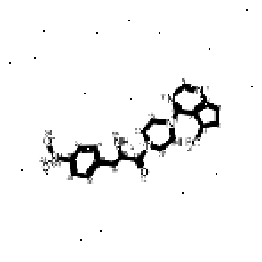 CC1CCc2ncnc(N3CCN(C(=O)C(N)Cc4ccc([N+](=O)[O-])cc4)CC3)c21